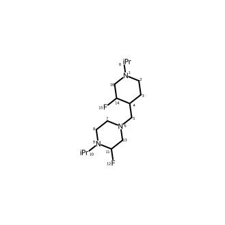 CC(C)N1CCC(CN2CCN(C(C)C)C(F)C2)C(F)C1